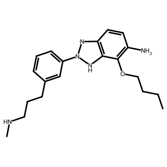 CCCCOc1c(N)ccc2c1NN(c1cccc(CCCNC)c1)[N]2